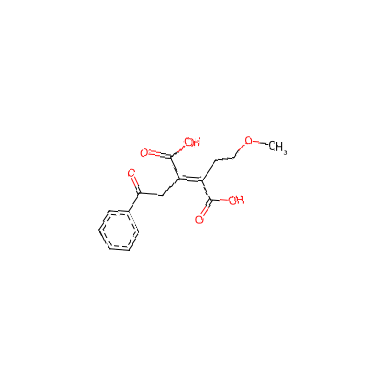 COCC/C(C(=O)O)=C(/CC(=O)c1ccccc1)C(=O)O